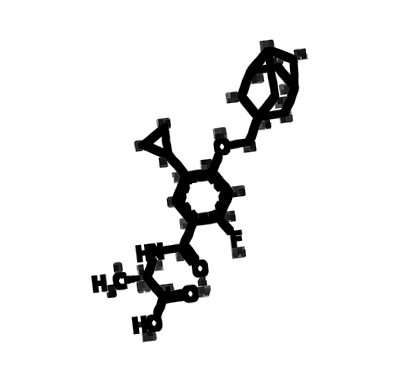 C[C@H](NC(=O)c1cc(C2CC2)c(OCC23CC4CC(C2)C(C4)C3)cc1F)C(=O)O